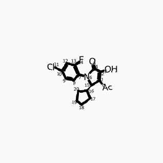 CC(=O)C1=C(O)C(=O)N(c2ccc(Cl)cc2F)[C@@H]1C1CCCC1